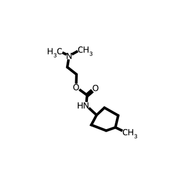 CC1CCC(NC(=O)OCCN(C)C)CC1